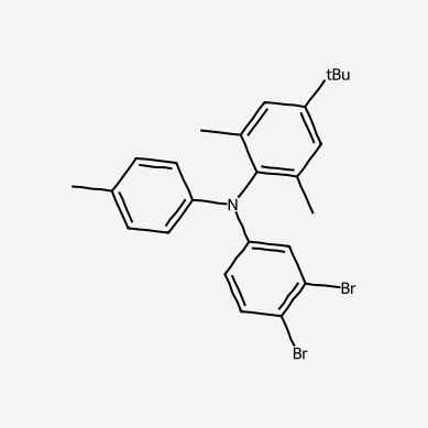 Cc1ccc(N(c2ccc(Br)c(Br)c2)c2c(C)cc(C(C)(C)C)cc2C)cc1